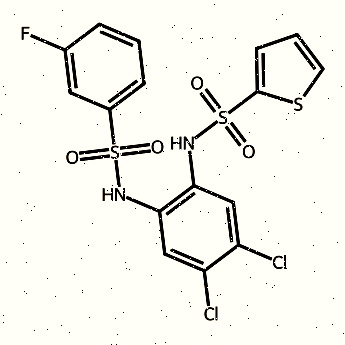 O=S(=O)(Nc1cc(Cl)c(Cl)cc1NS(=O)(=O)c1cccs1)c1cccc(F)c1